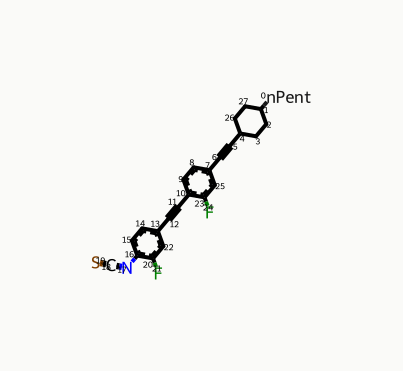 CCCCCC1CCC(C#Cc2ccc(C#Cc3ccc(N=C=S)c(F)c3)c(F)c2)CC1